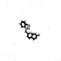 Fc1ccc2ccc(Cn3nnc4ccccc43)nc2c1